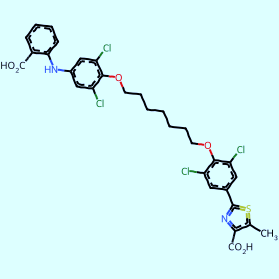 Cc1sc(-c2cc(Cl)c(OCCCCCCCOc3c(Cl)cc(Nc4ccccc4C(=O)O)cc3Cl)c(Cl)c2)nc1C(=O)O